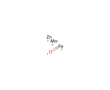 [Mn].[O]=[Fe].[Zn]